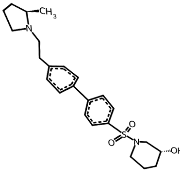 C[C@@H]1CCCN1CCc1ccc(-c2ccc(S(=O)(=O)N3CCC[C@@H](O)C3)cc2)cc1